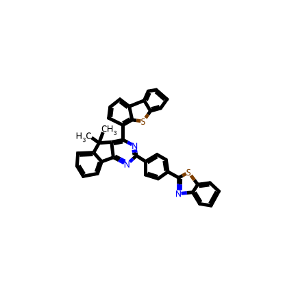 CC1(C)c2ccccc2-c2nc(-c3ccc(-c4nc5ccccc5s4)cc3)nc(-c3cccc4c3sc3ccccc34)c21